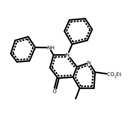 CCOC(=O)c1cc(C)c2c(=O)cc(Nc3ccccc3)n(-c3ccccc3)c2n1